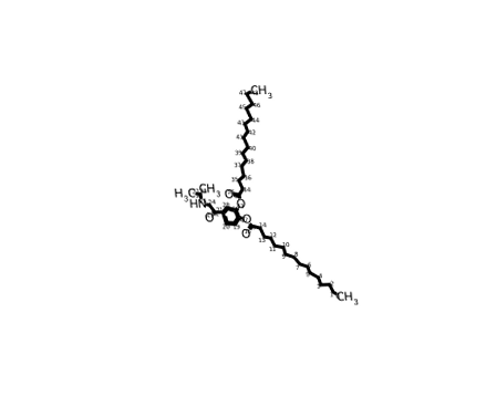 CCCCCCCCCCCCCCCC(=O)Oc1ccc(C(=O)CNC(C)C)cc1OC(=O)CCCCCCCCCCCCCCC